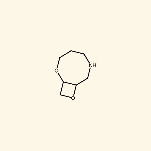 C1CNCC2OCC2OC1